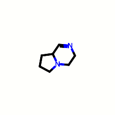 C1=NCCN2CCCC12